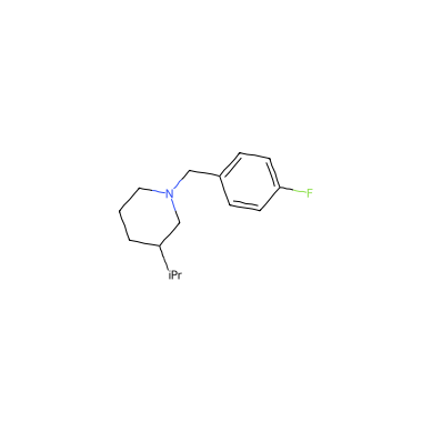 CC(C)C1CCCN(Cc2ccc(F)cc2)C1